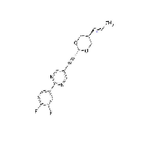 C/C=C/[C@H]1CO[C@H](C#Cc2cnc(-c3ccc(F)c(F)c3)nc2)OC1